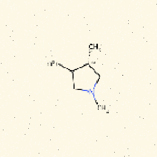 CCCC1CN(C)C[C@H]1C